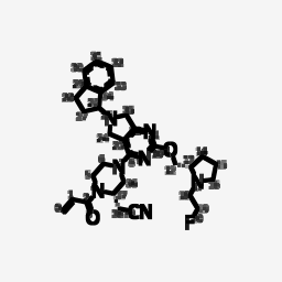 C=CC(=O)N1CCN(c2nc(OC[C@@H]3CCCN3CCF)nc3c2CN(C2CCc4ccccc42)C3)C[C@@H]1CC#N